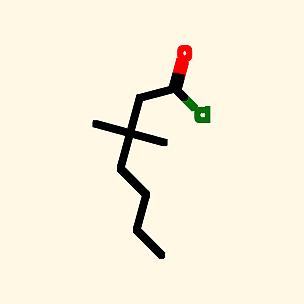 CCCCC(C)(C)CC(=O)Cl